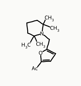 CC(=O)c1ccc(CN2C(C)(C)CCCC2(C)C)o1